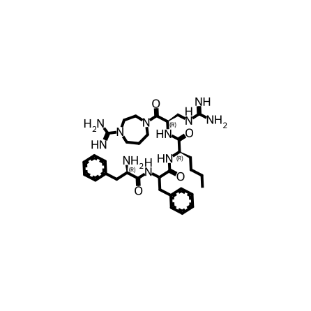 CCCC[C@@H](NC(=O)C(Cc1ccccc1)NC(=O)[C@H](N)Cc1ccccc1)C(=O)N[C@H](CNC(=N)N)C(=O)N1CCCN(C(=N)N)CC1